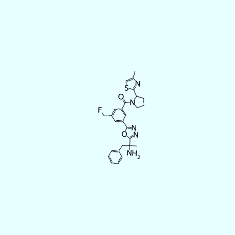 Cc1csc(C2CCCN2C(=O)c2cc(CF)cc(-c3nnc(C(C)(N)Cc4ccccc4)o3)c2)n1